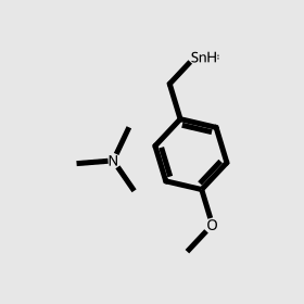 CN(C)C.COc1ccc([CH2][SnH])cc1